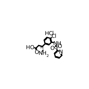 Cl.NC[C@H](CC(=O)O)c1ccc(Cl)c(NS(=O)(=O)c2ccccn2)c1